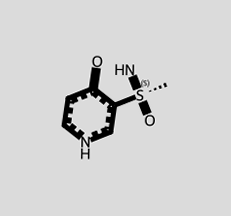 C[S@](=N)(=O)c1c[nH]ccc1=O